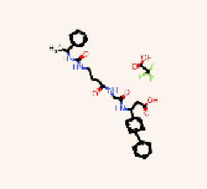 CC(NC(=O)NCCCC(=O)NCC(=O)NC(CC(=O)O)c1ccc(-c2ccccc2)cc1)c1ccccc1.O=C(O)C(F)(F)F